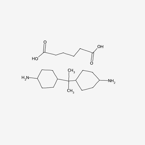 CC(C)(C1CCC(N)CC1)C1CCC(N)CC1.O=C(O)CCCCC(=O)O